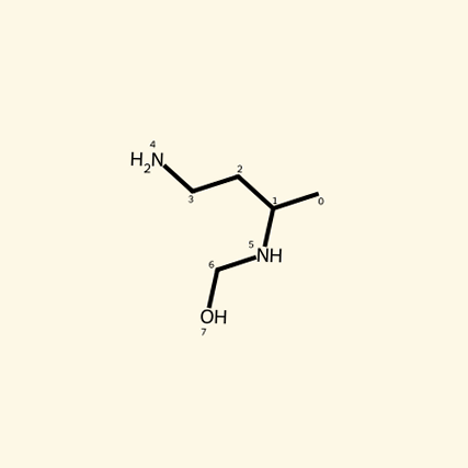 CC(CCN)NCO